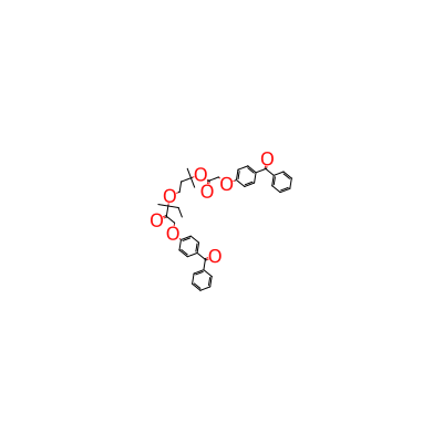 CCC(C)(OCCC(C)(C)OC(=O)COc1ccc(C(=O)c2ccccc2)cc1)C(=O)COc1ccc(C(=O)c2ccccc2)cc1